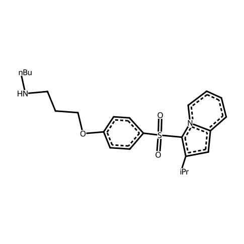 CCCCNCCCOc1ccc(S(=O)(=O)c2c(C(C)C)cc3ccccn23)cc1